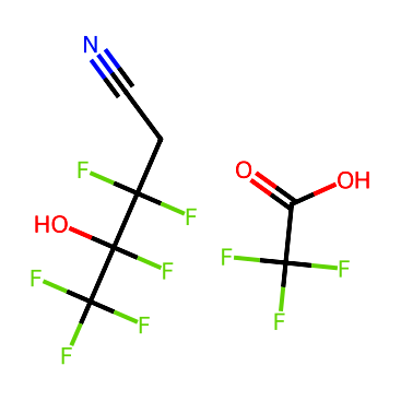 N#CCC(F)(F)C(O)(F)C(F)(F)F.O=C(O)C(F)(F)F